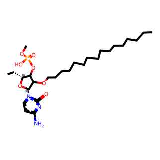 CCCCCCCCCCCCCCCCOC1C(OP(=O)(O)OC)[C@@H](CC)O[C@H]1n1ccc(N)nc1=O